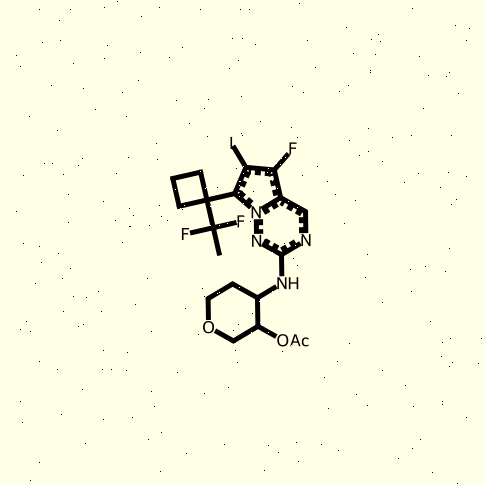 CC(=O)OC1COCCC1Nc1ncc2c(F)c(I)c(C3(C(C)(F)F)CCC3)n2n1